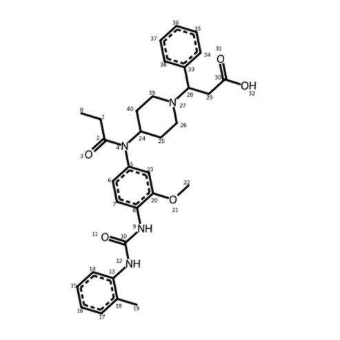 CCC(=O)N(c1ccc(NC(=O)Nc2ccccc2C)c(OC)c1)C1CCN(C(CC(=O)O)c2ccccc2)CC1